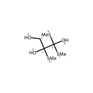 CSC(O)(CO)C(O)(SC)SC